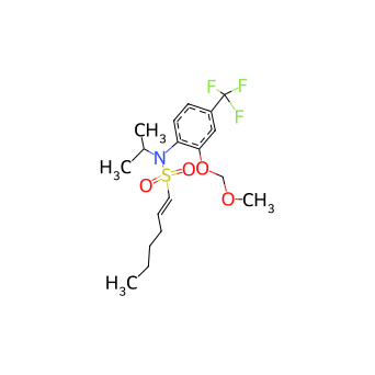 CCCC/C=C/S(=O)(=O)N(c1ccc(C(F)(F)F)cc1OCOC)C(C)C